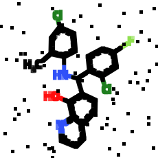 Cc1cc(Cl)ccc1NC(c1ccc(F)cc1Cl)c1ccc2cccnc2c1O